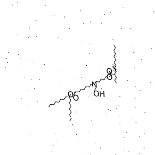 CCCCCCCCSCC(CCC)C(=O)OCCCCCN(CCO)CCCCCCCC(=O)OC(CCCCCCCC)CCCCCCCC